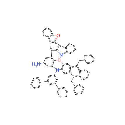 Nc1cc2c3c(c1)N(c1cc(-c4ccccc4)cc(-c4ccccc4)c1)c1cc4c(Cc5ccccc5)c5ccccc5c(Cc5ccccc5)c4cc1B3n1c3ccccc3c3c4oc5ccccc5c4cc-2c31